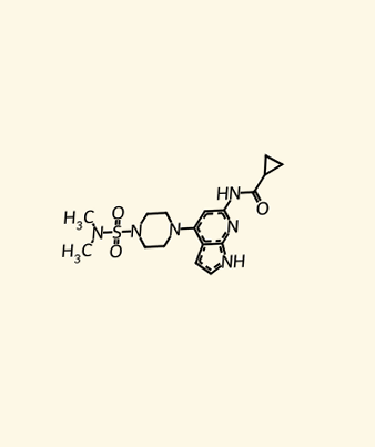 CN(C)S(=O)(=O)N1CCN(c2cc(NC(=O)C3CC3)nc3[nH]ccc23)CC1